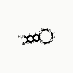 Nc1cc2cc3c(cc2cc1Br)OCCOCCOCCO3